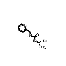 CC[C@H](C)[C@@H]([C]=O)NC(=O)NCc1ccccn1